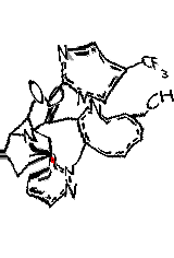 Cc1ccc(-n2nccn2)c(C(=O)N2C3CCC2C(Oc2ncc(C(F)(F)F)cn2)C3)n1